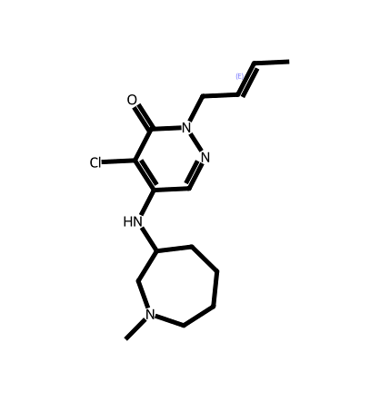 C/C=C/Cn1ncc(NC2CCCCN(C)C2)c(Cl)c1=O